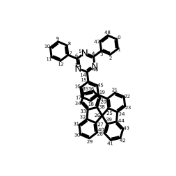 c1ccc(-c2nc(-c3ccccc3)nc(-c3cccc(-c4cccc5c4C4(c6ccccc6-c6ccccc64)c4ccccc4-5)c3)n2)cc1